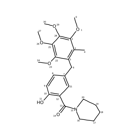 COc1c(C)c(Cc2ccc(O)c(C(=O)N3CCCCC3)c2)c(OC)c(OC)c1OC